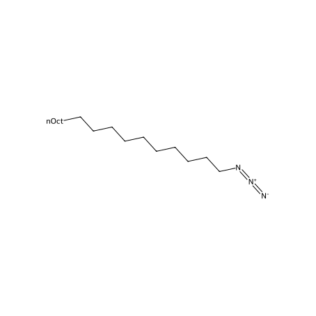 CCCCCCCCCCCCCCCCCCN=[N+]=[N-]